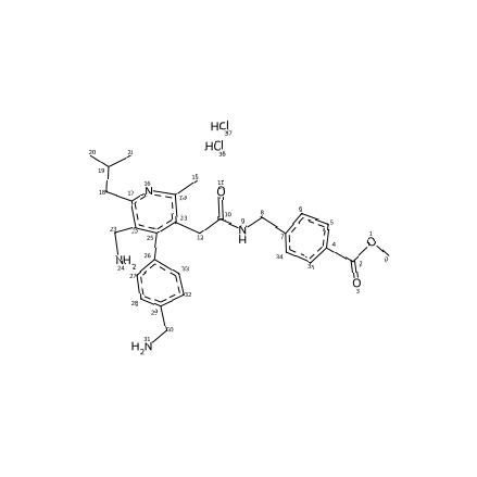 COC(=O)c1ccc(CNC(=O)Cc2c(C)nc(CC(C)C)c(CN)c2-c2ccc(CN)cc2)cc1.Cl.Cl